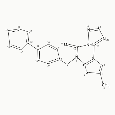 Cc1cc2c(s1)n(Cc1ccc(-c3ccccc3)cc1)c(=O)n1ncnc21